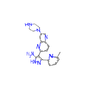 Cc1cccc(-c2n[nH]c(N)c2-c2ccc3ncc(N4CCNCC4)cc3n2)n1